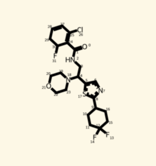 O=C(NCC(c1cnc(C2CCC(F)(F)CC2)s1)N1CCOCC1)C1=C(Cl)C=CCC1F